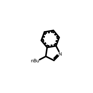 CCCCC1C=Nc2ccccc21